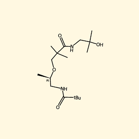 C[C@H](CNC(=O)C(C)(C)C)OCC(C)(C)C(=O)NCC(C)(C)O